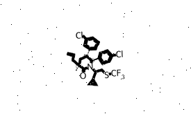 C=CC[C@@]1(C)C[C@H](c2cccc(Cl)c2)[C@@H](c2ccc(Cl)cc2)N(C(CSC(F)(F)F)C2CC2)C1=O